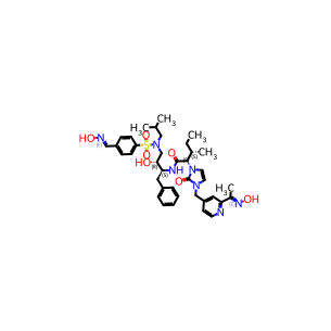 CC[C@H](C)[C@@H](C(=O)N[C@@H](Cc1ccccc1)[C@H](O)CN(CC(C)C)S(=O)(=O)c1ccc(/C=N/O)cc1)n1ccn(Cc2ccnc(/C(C)=N/O)c2)c1=O